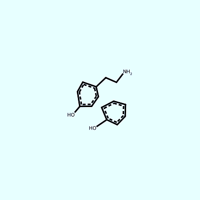 NCCc1ccc(O)cc1.Oc1ccccc1